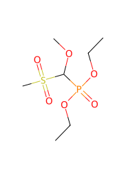 CCOP(=O)(OCC)C(OC)S(C)(=O)=O